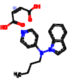 CCCCN(c1ccncc1)n1ccc2ccccc21.O=C(O)/C=C\C(=O)O